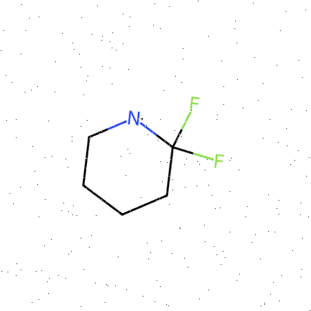 FC1(F)CCCC[N]1